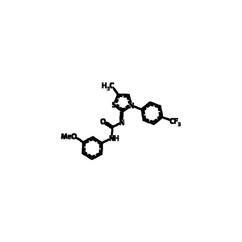 COc1cccc(NC(=O)N=c2sc(C)cn2-c2ccc(C(F)(F)F)cc2)c1